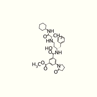 COC(=O)c1cc(C(=O)N[C@@H](Cc2ccccc2)[C@H](O)CN[C@@H](C)C(=O)NC2CCCCC2)cc(N2CCCC2=O)c1